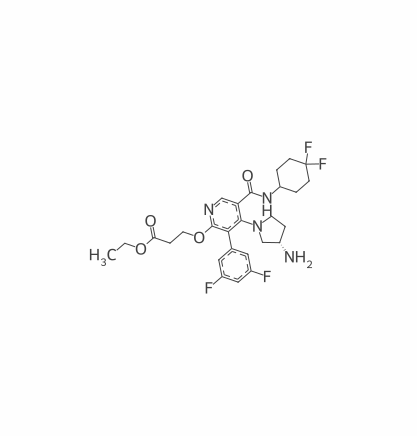 CCOC(=O)CCOc1ncc(C(=O)NC2CCC(F)(F)CC2)c(N2CC[C@H](N)C2)c1-c1cc(F)cc(F)c1